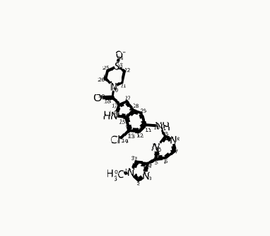 Cn1cnc(-c2ccnc(Nc3cc(Cl)c4[nH]c(C(=O)N5CC[S+]([O-])CC5)cc4c3)n2)c1